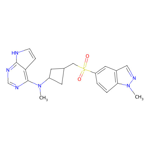 CN(c1ncnc2[nH]ccc12)C1CC(CS(=O)(=O)c2ccc3c(cnn3C)c2)C1